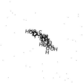 O=C(O)[C@H](Cc1ccc(O)cc1)Nc1ncnc2c1ncn2[C@@H]1O[C@H](CO)C(O)[C@@H]1O